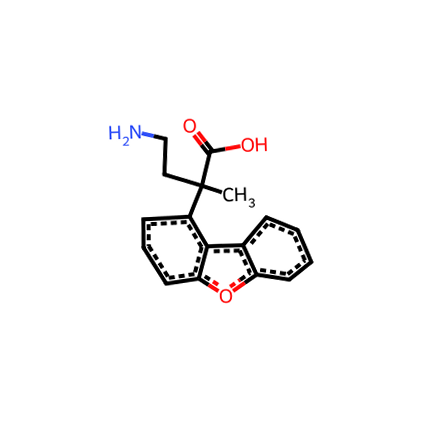 CC(CCN)(C(=O)O)c1cccc2oc3ccccc3c12